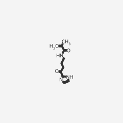 C=C(C)C(=O)NCCCC(=O)c1ncc[nH]1